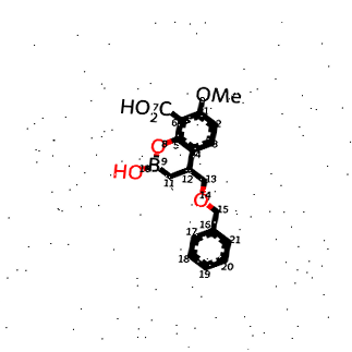 COc1ccc2c(c1C(=O)O)OB(O)CC2COCc1ccccc1